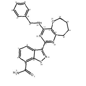 NC(=O)c1cccc2c(-c3nc4c(c(NCc5ccccc5)n3)OCCCC4)nsc12